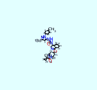 Cc1ccc(-n2nc(C(C)(C)C)cc2NC(=O)Nc2cnc(OC3CCN(C(=O)C4(C)CC4)CC3)c3ccccc23)cc1